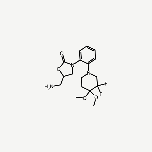 COC1(OC)CCN(c2ccccc2N2CC(CN)OC2=O)CC1(F)F